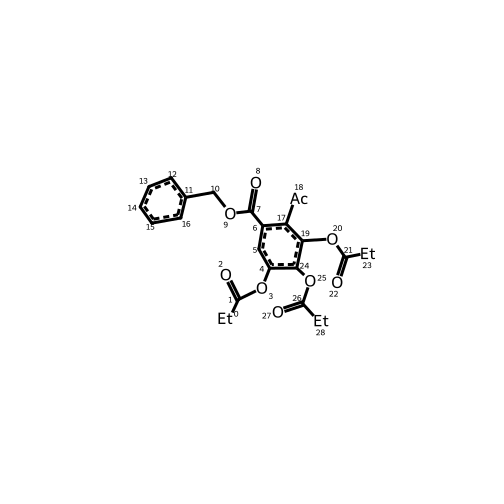 CCC(=O)Oc1cc(C(=O)OCc2ccccc2)c(C(C)=O)c(OC(=O)CC)c1OC(=O)CC